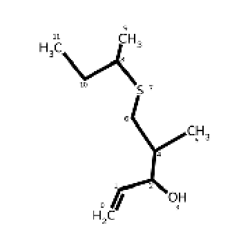 C=CC(O)C(C)CSC(C)CC